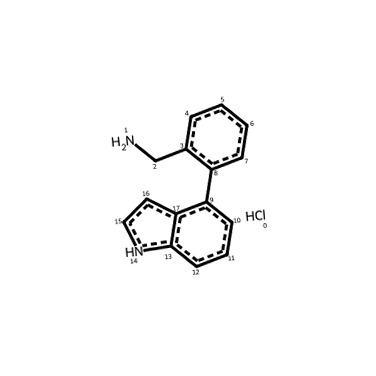 Cl.NCc1ccccc1-c1cccc2[nH]ccc12